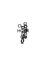 CC(O)C1=C(C(=O)N2CCC[C@H]2C(=O)N2CCN(C)CC2)SC2=N[C@@](C)(c3ccc(Cl)cc3)[C@@H](c3ccc(Cl)cc3)N21